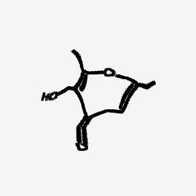 Cc1cc(=O)c(O)c(C)o1